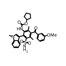 COc1cccc(C(=O)c2c(C)c(NC(=O)OC3CCCC3)c(-c3cn(C)c4ccccc34)c(S(N)(=O)=O)c2C)c1